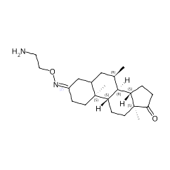 C[C@@H]1CC2C/C(=N\OCCN)CC[C@]2(C)[C@H]2CC[C@]3(C)C(=O)CC[C@H]3[C@H]12